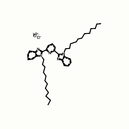 CCCCCCCCCCCCn1c(-c2cccc(-c3nc4ccccc4n3CCCCCCCCCCCC)n2)nc2ccccc21.[Cl-].[Cl-].[V+2]